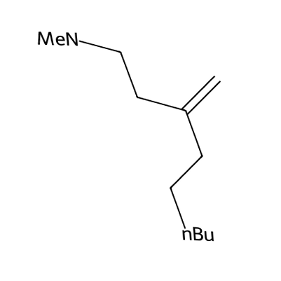 C=C(CCCCCC)CCNC